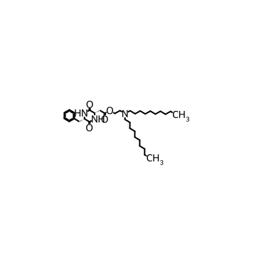 CCCCCCCCCCN(CCCCCCCCCC)CCOC(=O)C[C@@H]1NC(=O)[C@H](Cc2ccccc2)NC1=O